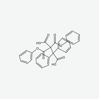 O=C(O)C(C(=O)Oc1ccccc1)(C(=O)Oc1ccccc1)C(C(=O)O)(c1ccccc1)c1ccccc1